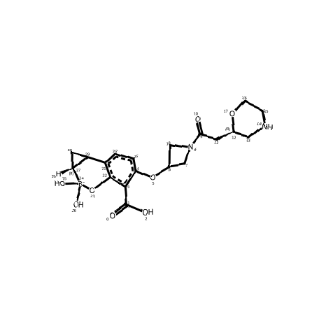 O=C(O)c1c(OC2CN(C(=O)C[C@@H]3CNCCO3)C2)ccc2c1O[B-](O)(O)[C@@H]1CC21